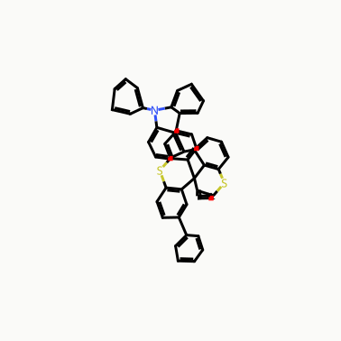 c1ccc(-c2ccc3c(c2)C2(c4ccccc4S3)c3ccccc3Sc3cccc(-c4cccc5c4c4ccccc4n5-c4ccccc4)c32)cc1